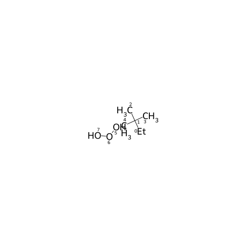 CCC(C)(C)C.OOO